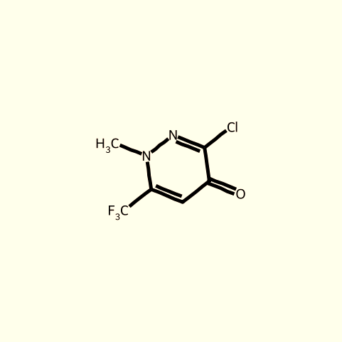 Cn1nc(Cl)c(=O)cc1C(F)(F)F